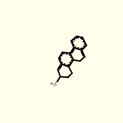 CC1C=c2ccc3c(c2CC1)CC=c1ccccc1=3